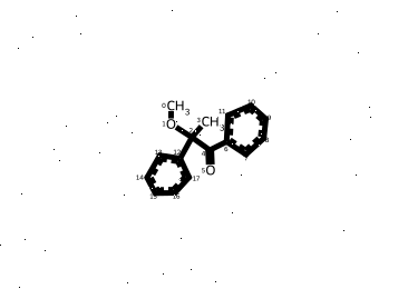 COC(C)(C(=O)c1ccccc1)c1ccccc1